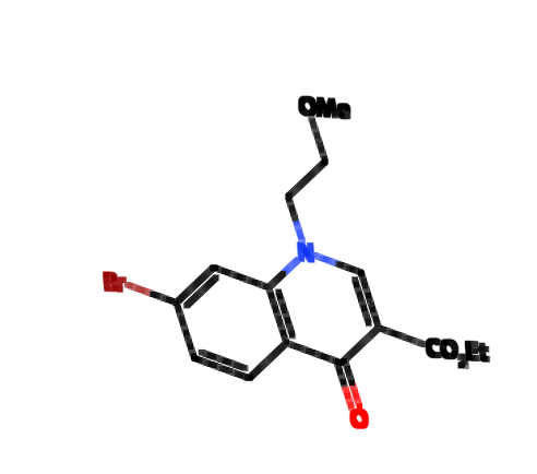 CCOC(=O)c1cn(CCOC)c2cc(Br)ccc2c1=O